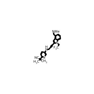 CNCc1cccc2c1cc(C#CCNc1ccc(C(C)(C)C#N)nc1)n2CC(F)(F)F